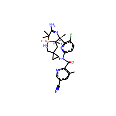 Cc1cc(C#N)cnc1C(=O)Nc1ccc(F)c([C@@]2(C)N=C(N)C(C)(C)S3(O)NCC4(CC4)C[C@@H]23)n1